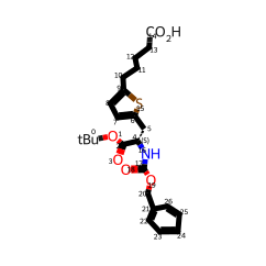 CC(C)(C)OC(=O)[C@H](Cc1ccc(CCCCC(=O)O)s1)NC(=O)OCc1ccccc1